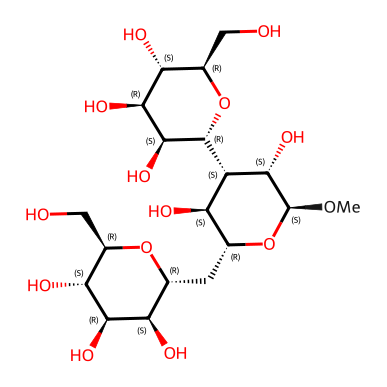 CO[C@H]1O[C@H](C[C@H]2O[C@H](CO)[C@@H](O)[C@H](O)[C@@H]2O)[C@@H](O)[C@H]([C@H]2O[C@H](CO)[C@@H](O)[C@H](O)[C@@H]2O)[C@@H]1O